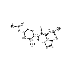 O=C(O)C[C@@H]1CC[C@H](NC(=O)/C(=N/C(=O)O)c2cccs2)B(O)O1